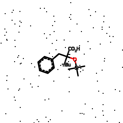 CCCCC(Cc1ccccc1)(O[Si](C)(C)C)C(=O)O